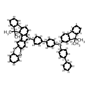 CC1(C)c2ccccc2-c2ccc(N(c3ccc(-c4ccccc4)cc3)c3ccc(-c4ccc(-n5c6cc7c(cc6c6c8c(ccc65)-c5ccccc5C8(C)C)Sc5ccccc5S7)cc4)cc3)cc21